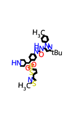 Cc1ccc(-n2nc(C(C)(C)C)cc2NC(=O)Nc2ccc(C(C3CCNCC3)S(=O)(=O)c3ccc(-c4csc(C)n4)s3)cc2)cc1